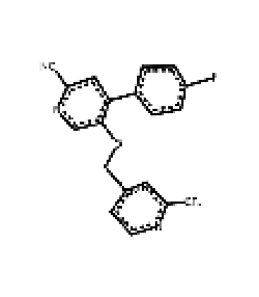 N#Cc1cc(-c2ccc(F)cc2)c(OCc2ccnc(C(F)(F)F)c2)cn1